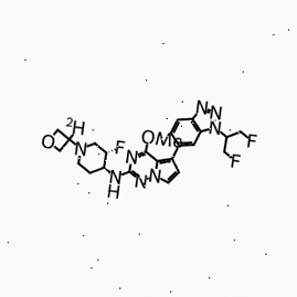 [2H]C1(N2CC[C@H](Nc3nc(OC)c4c(-c5ccc6nnn(C(CF)CF)c6c5)ccn4n3)[C@@H](F)C2)COC1